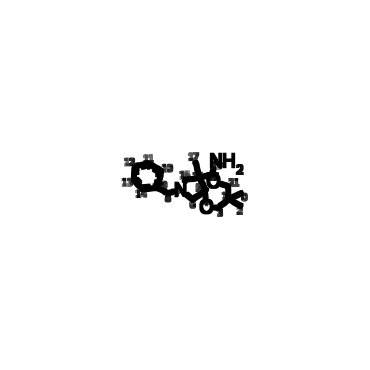 CC1(C)COC2(CN(Cc3ccccc3)CC2(C)CN)OC1